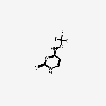 O=c1nc(NOC(F)(F)F)cc[nH]1